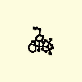 [2H]C([2H])([2H])N(C([2H])([2H])[2H])C([2H])([2H])C([2H])(c1ccc(OC)cc1)C1(O)CCCCC1